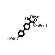 CCCCCOC(=O)C(C(=O)OC)C1CCC(c2ccc(CCCCC)cc2)CC1